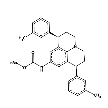 CCCCOC(=O)Nc1cc2c3c(c1)[C@H](c1cccc(C)c1)CCN3CC[C@@H]2c1cccc(C)c1